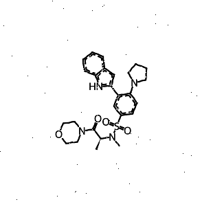 C[C@@H](C(=O)N1CCOCC1)N(C)S(=O)(=O)c1ccc(N2CCCC2)c(-c2cc3ccccc3[nH]2)c1